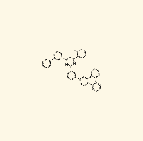 CC1CC=CC=C1c1cc(-c2cccc(-c3ccccc3)c2)nc(-c2cccc(-c3ccc4c5ccccc5c5ccccc5c4c3)c2)n1